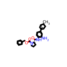 CC12CCC(c3ccc(NC(=O)[C@@H]4CCCN4C(=O)OCc4ccccc4)c(N)c3)(CC1)CC2